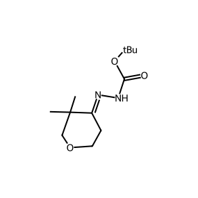 CC(C)(C)OC(=O)NN=C1CCOCC1(C)C